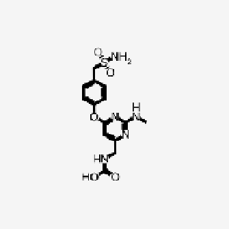 CNc1nc(CNC(=O)O)cc(Oc2ccc(CS(N)(=O)=O)cc2)n1